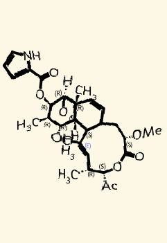 CO[C@H]1CC2C=C[C@]3(C)[C@H]4[C@H](O)[C@@H](C)[C@@H](OC(=O)c5ccc[nH]5)[C@@H]3O[C@@]24/C(C)=C/[C@@H](C)[C@@H](C(C)=O)OC1=O